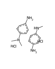 CN(C)c1ccc(N)cc1.CNc1ccc(N)cc1.Cl.Cl